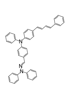 C(C=Cc1ccc(N(c2ccccc2)c2ccc(C=NN(c3ccccc3)c3ccccc3)cc2)cc1)=Cc1ccccc1